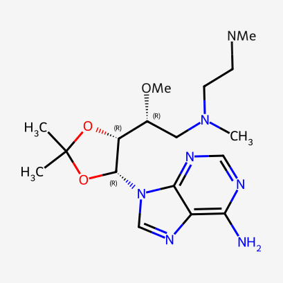 CNCCN(C)C[C@@H](OC)[C@H]1OC(C)(C)O[C@H]1n1cnc2c(N)ncnc21